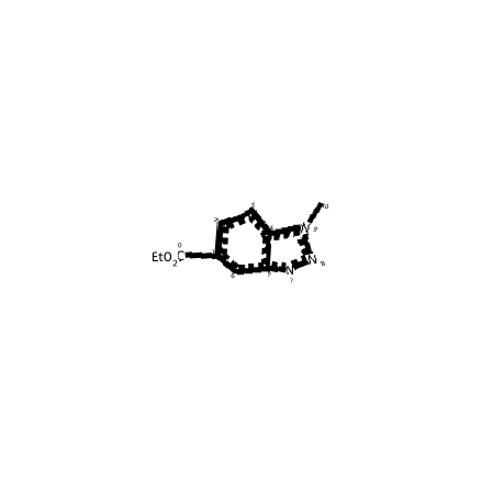 CCOC(=O)c1ccc2c(c1)nnn2C